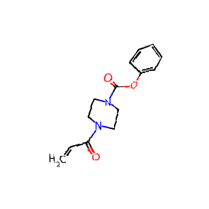 C=CC(=O)N1CCN(C(=O)Oc2ccccc2)CC1